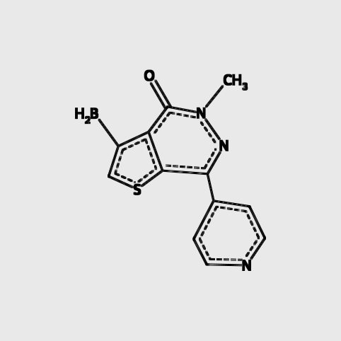 Bc1csc2c(-c3ccncc3)nn(C)c(=O)c12